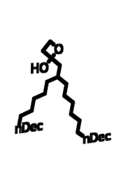 CCCCCCCCCCCCCCCCC(CCCCCCCCCCCCCCC)CC1(O)CCO1